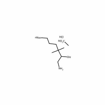 CC(=O)O.CCCCCCCCCCCCC(C)(C)C(O)CN.Cl